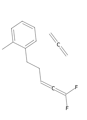 C=C=C.Cc1ccccc1CCC=C=C(F)F